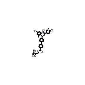 Cc1cc(Cl)ccc1C(C/C(=N/O)c1ccc(=O)n(C)c1)c1ccc(-c2ccc(C(=O)NCc3nnn[nH]3)cc2)cc1